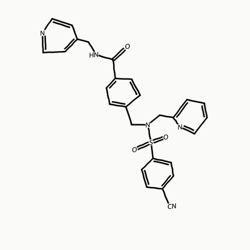 N#Cc1ccc(S(=O)(=O)N(Cc2ccc(C(=O)NCc3ccncc3)cc2)Cc2ccccn2)cc1